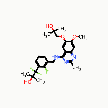 COc1cc2nc(C)nc(NCc3cccc(C(F)(F)C(C)(C)O)c3F)c2cc1OCC(C)(C)O